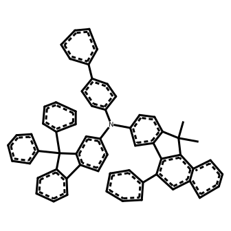 CC1(C)c2ccc(N(c3ccc(-c4ccccc4)cc3)c3ccc4c(c3)C(c3ccccc3)(c3ccccc3)c3ccccc3-4)cc2-c2c(-c3ccccc3)cc3ccccc3c21